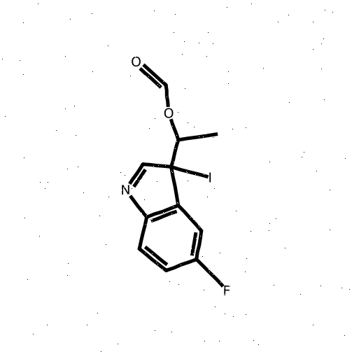 CC(OC=O)C1(I)C=Nc2ccc(F)cc21